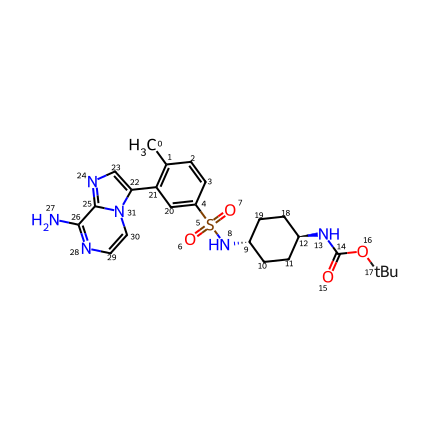 Cc1ccc(S(=O)(=O)N[C@H]2CC[C@H](NC(=O)OC(C)(C)C)CC2)cc1-c1cnc2c(N)nccn12